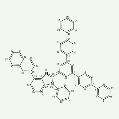 c1ccc(-c2ccc(-c3cc(-c4ccc(-c5ccccc5)cc4)cc(-c4nc5c(-c6ccc7ccccc7c6)ccnc5n4-c4ccccc4)c3)cc2)cc1